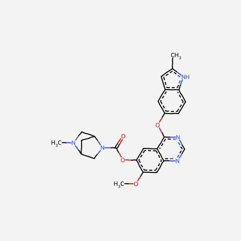 COc1cc2ncnc(Oc3ccc4[nH]c(C)cc4c3)c2cc1OC(=O)N1CC2CC1CN2C